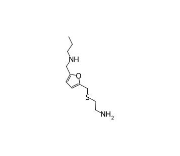 CCCNCc1ccc(CSCCN)o1